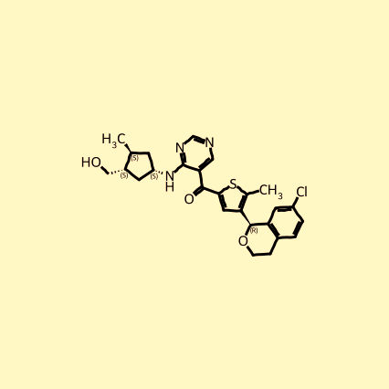 Cc1sc(C(=O)c2cncnc2N[C@@H]2C[C@H](CO)[C@@H](C)C2)cc1[C@@H]1OCCc2ccc(Cl)cc21